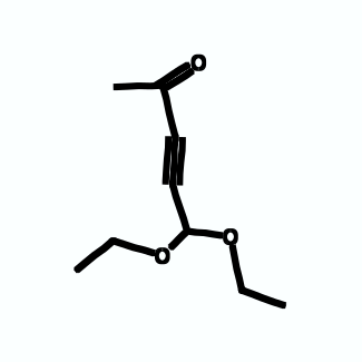 CCOC(C#CC(C)=O)OCC